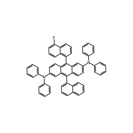 Fc1cccc2c(-c3c4ccc(N(c5ccccc5)c5ccccc5)cc4c(-c4cccc5ccccc45)c4ccc(N(c5ccccc5)c5ccccc5)cc34)cccc12